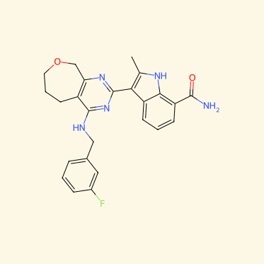 Cc1[nH]c2c(C(N)=O)cccc2c1-c1nc2c(c(NCc3cccc(F)c3)n1)CCCOC2